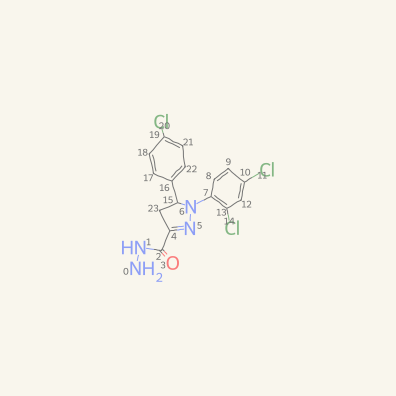 NNC(=O)C1=NN(c2ccc(Cl)cc2Cl)C(c2ccc(Cl)cc2)C1